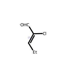 CC/C=C(\Cl)[C]=O